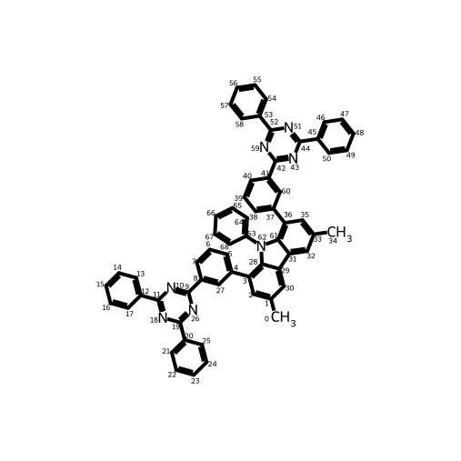 Cc1cc(-c2cccc(-c3nc(-c4ccccc4)nc(-c4ccccc4)n3)c2)c2c(c1)c1cc(C)cc(-c3cccc(-c4nc(-c5ccccc5)nc(-c5ccccc5)n4)c3)c1n2-c1ccccc1